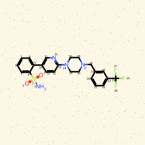 NS(=O)(=O)c1ccccc1-c1ccc(N2CCN(Cc3cccc(C(F)(F)F)c3)CC2)nc1